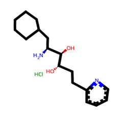 Cl.N[C@@H](CC1CCCCC1)[C@@H](O)[C@@H](O)CCc1ccccn1